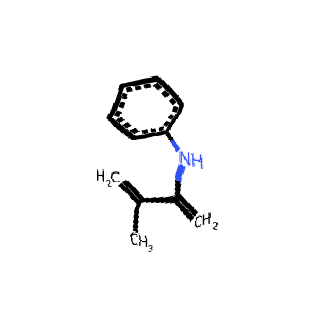 C=C(C)C(=C)Nc1ccccc1